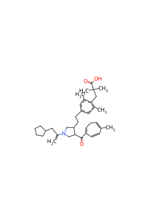 C=C(CC1CCCC1)N1CC(CCc2cc(C)c(CC(C)(C)C(=O)O)c(C)c2)C(C(=O)C2=CCC=C(C)C=C2)C1